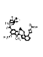 COc1cc(C(=O)N2C[C@H]3CC[C@@H]2C[C@@H]3N)cc2nc(-c3cc4cccc(C5CN(C(N)=O)C5)c4n3CC3CC3)n(C)c12